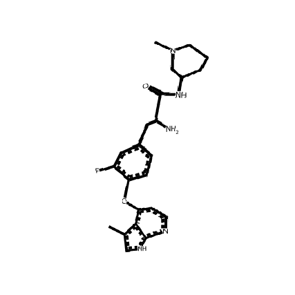 Cc1c[nH]c2nccc(Oc3ccc(CC(N)C(=O)NC4CCCN(C)C4)cc3F)c12